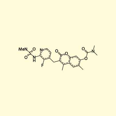 CNS(=O)(=O)Nc1nccc(Cc2c(C)c3cc(C)c(OC(=O)N(C)C)cc3oc2=O)c1F